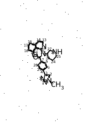 Cn1cc(-c2ccc(C(=O)N(c3nccc4cccc(Cl)c34)[C@@H]3CCCNC3)cc2)nn1